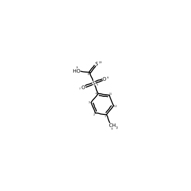 Cc1ccc(S(=O)(=O)C(O)=S)cc1